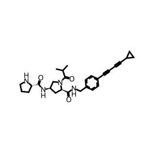 CC(C)C(=O)N1C[C@H](NC(=O)[C@@H]2CCCN2)C[C@@H]1C(=O)NCc1ccc(C#CC#CC2CC2)cc1